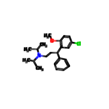 COc1ccc(Cl)cc1C(CCN(C(C)C)C(C)C)c1ccccc1